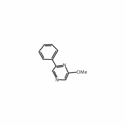 COc1cn[c]c(-c2ccccc2)n1